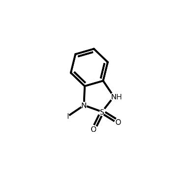 O=S1(=O)Nc2ccccc2N1I